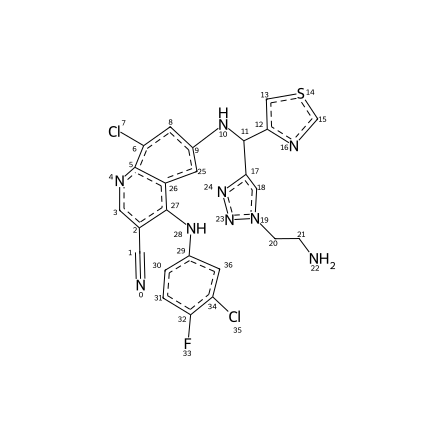 N#Cc1cnc2c(Cl)cc(NC(c3cscn3)c3cn(CCN)nn3)cc2c1Nc1ccc(F)c(Cl)c1